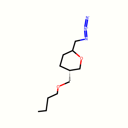 CCCCOC[C@@H]1CCC(CN=[N+]=[N-])OC1